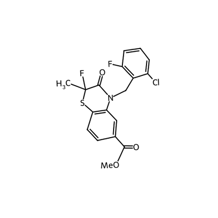 COC(=O)c1ccc2c(c1)N(Cc1c(F)cccc1Cl)C(=O)C(C)(F)S2